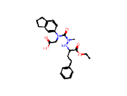 CCOC(=O)C(CCc1ccccc1)NN(C)C(=O)N(CC(=O)O)c1ccc2c(c1)CCC2